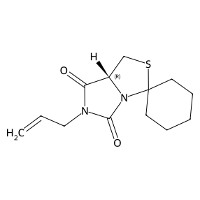 C=CCN1C(=O)[C@@H]2CSC3(CCCCC3)N2C1=O